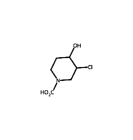 O=C(O)N1CCC(O)C(Cl)C1